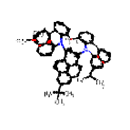 Cc1cccc(-c2ccccc2)c1N(c1cccc(C(C)C)c1)c1cc(N(c2cccc(C(C)C)c2)c2c(C)cccc2-c2ccccc2)c2ccc3cc(C(C)(C)C)cc4ccc1c2c43